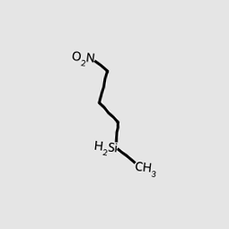 C[SiH2]CCC[N+](=O)[O-]